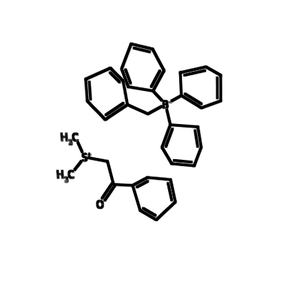 C[S+](C)CC(=O)c1ccccc1.c1ccc(C[B-](c2ccccc2)(c2ccccc2)c2ccccc2)cc1